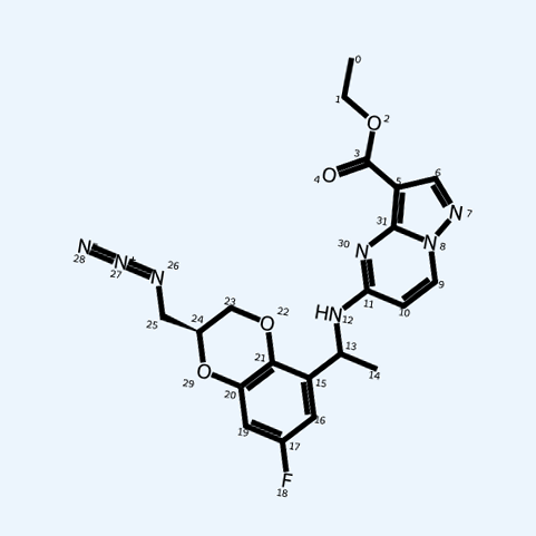 CCOC(=O)c1cnn2ccc(NC(C)c3cc(F)cc4c3OC[C@H](CN=[N+]=[N-])O4)nc12